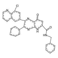 O=C(NCc1ccccc1)c1cc(=O)c2nc(-c3cc(Cl)c4ncccc4c3)c(-c3ccccc3)nc2[nH]1